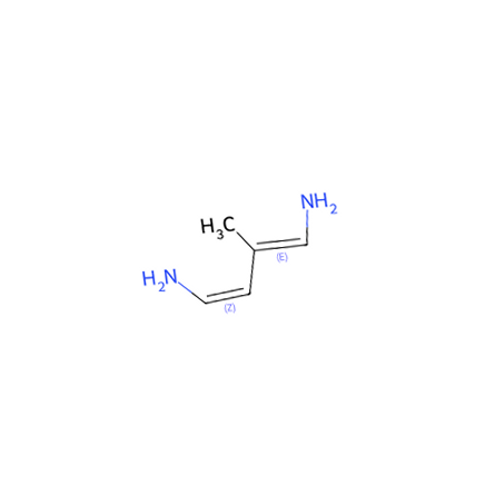 CC(/C=C\N)=C\N